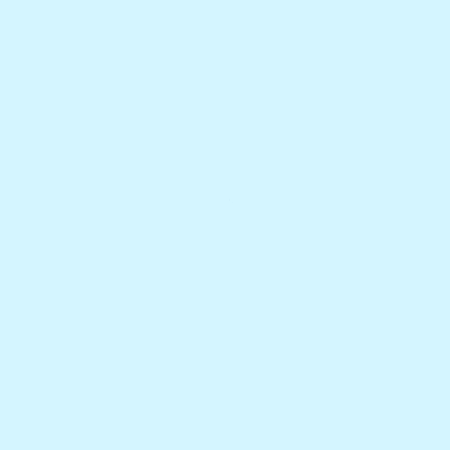 C=C/C=C(/C)SC=C